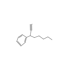 [C]#CC(CCCCC)c1ccccc1